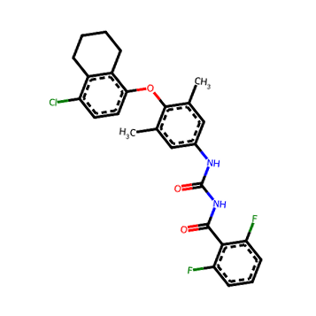 Cc1cc(NC(=O)NC(=O)c2c(F)cccc2F)cc(C)c1Oc1ccc(Cl)c2c1CCCC2